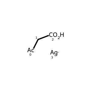 CC(=O)CC(=O)O.[Ag]